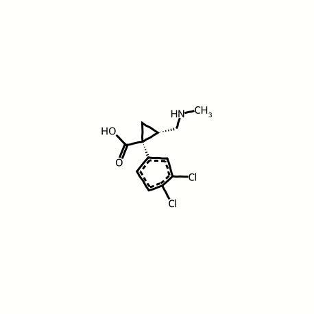 CNC[C@H]1C[C@@]1(C(=O)O)c1ccc(Cl)c(Cl)c1